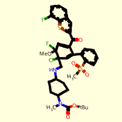 COC1(F)C=C(C(=O)c2cc3cccc(F)c3s2)C(c2ccccc2S(C)(=O)=O)=CC1(Cl)CNC1CCC(N(C)C(=O)OC(C)(C)C)CC1